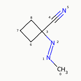 CN=NC1(C#N)CCC1